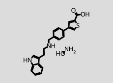 NO.O=C(O)c1cc(-c2ccc(CNCCc3c[nH]c4ccccc34)cc2)cs1